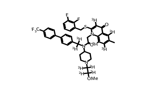 [2H]c1c(C)c([2H])c2c(=O)c([2H])c(SCc3cccc(F)c3F)n(CC(=O)N(C3CCN(C([2H])([2H])C([2H])([2H])OC)CC3)C([2H])([2H])c3ccc(-c4ccc(C(F)(F)F)cc4)cc3)c2c1[2H]